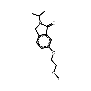 CC(C)N1Cc2ccc(OCCOI)cc2C1=O